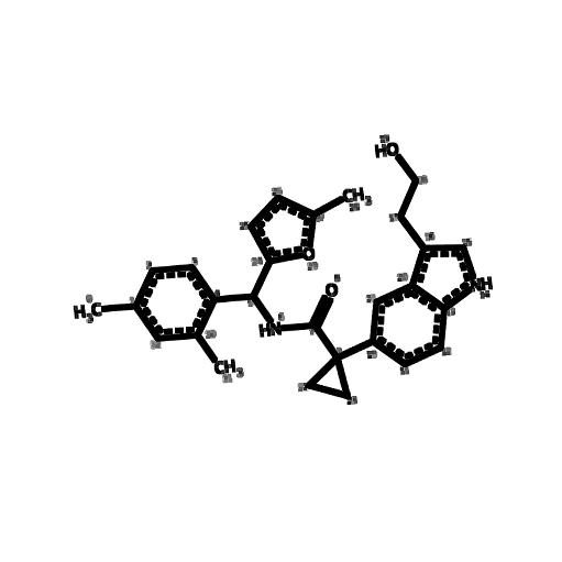 Cc1ccc(C(NC(=O)C2(c3ccc4[nH]cc(CCO)c4c3)CC2)c2ccc(C)o2)c(C)c1